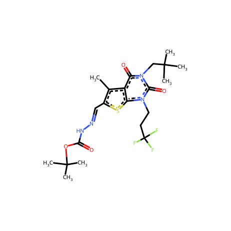 Cc1c(/C=N/NC(=O)OC(C)(C)C)sc2c1c(=O)n(CC(C)(C)C)c(=O)n2CCC(F)(F)F